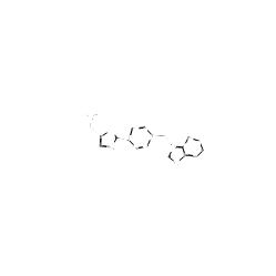 CCN(CC)Cc1cnc(-c2ccc(Cn3cnc4ccccc43)cc2)o1